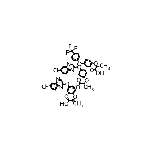 CC(Oc1ccc(Oc2ccc(C(F)(F)F)cc2)cc1)C(=O)O.CC(Oc1ccc(Oc2cnc3cc(Cl)ccc3n2)cc1)C(=O)O.C[C@@H](Oc1ccc(Oc2cnc3cc(Cl)ccc3n2)cc1)C(=O)O